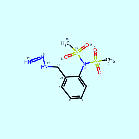 CS(=O)(=O)N(c1ccccc1CNN=N)S(C)(=O)=O